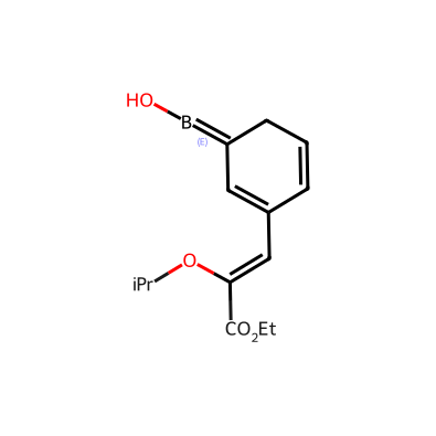 CCOC(=O)C(=CC1=C/C(=B/O)CC=C1)OC(C)C